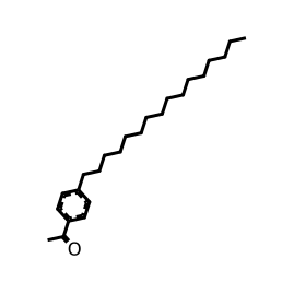 CCCCCCCCCCCCCCCCc1ccc(C(C)=O)cc1